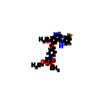 CCOC(=O)CC(C(=O)OCC)N1CCC(COc2cc3c(Nc4cccc(Br)c4)ncnc3cc2OC)CC1